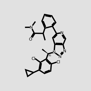 CC(C(=O)N(C)C)c1ccccc1-c1cc2c(cn1)nnn2[C@H](C)c1c(Cl)ccc(C2CC2)c1Cl